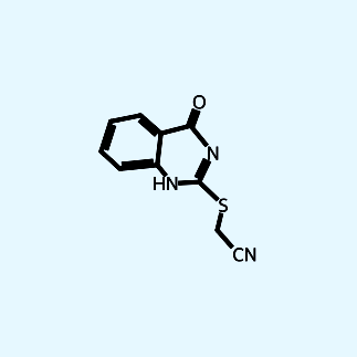 N#CCSc1nc(=O)c2ccccc2[nH]1